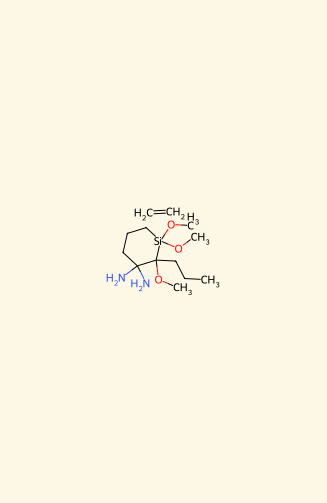 C=C.CCCC1(OC)C(N)(N)CCC[Si]1(OC)OC